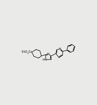 CCOC(=O)N1CCC(c2nc(-c3ccc(-c4ccccc4)nc3)c[nH]2)CC1